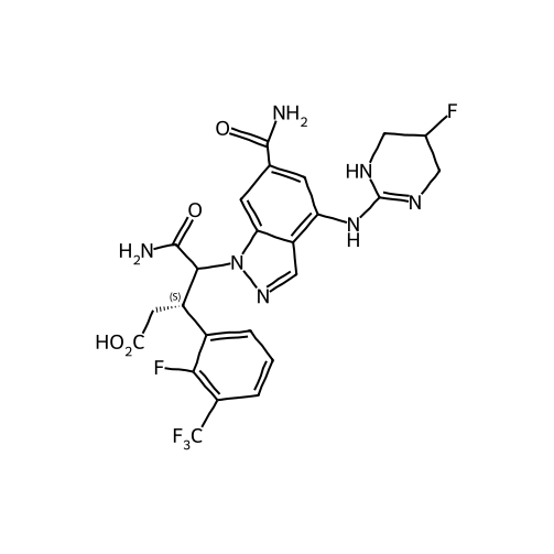 NC(=O)c1cc(NC2=NCC(F)CN2)c2cnn(C(C(N)=O)[C@@H](CC(=O)O)c3cccc(C(F)(F)F)c3F)c2c1